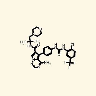 CC(C)(CN1CCOCC1)NC(=O)c1cn2ncnc(N)c2c1-c1ccc(NC(=O)Nc2cc(C(F)(F)F)ccc2Cl)cc1